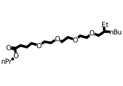 CCCCC(CC)COCCOCCOCCOCCCC(=O)OCCC